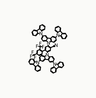 N#Cc1cc(-n2c3ccc(-n4c5ccccc5c5ccccc54)cc3c3cc(-n4c5ccccc5c5ccccc54)ccc32)c(-c2ccc(C(F)(F)F)cc2C(F)(F)F)cc1-n1c2ccc(-n3c4ccccc4c4ccccc43)cc2c2cc(-n3c4ccccc4c4ccccc43)ccc21